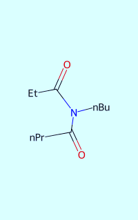 CCCCN(C(=O)CC)C(=O)CCC